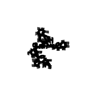 Cc1cc(C(=O)N[C@@H](Cc2ccccc2)[C@@H](O)CNCc2cc3ccccc3o2)cc(C(=O)N2CCC[C@@H]2c2nc(C)cs2)c1